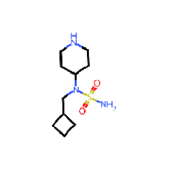 NS(=O)(=O)N(CC1CCC1)C1CCNCC1